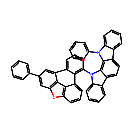 c1ccc(-c2cc3oc4cccc5c6c(-n7c8ccccc8c8ccc9c%10ccccc%10n(-c%10ccccc%10)c9c87)cccc6c(c2)c3c45)cc1